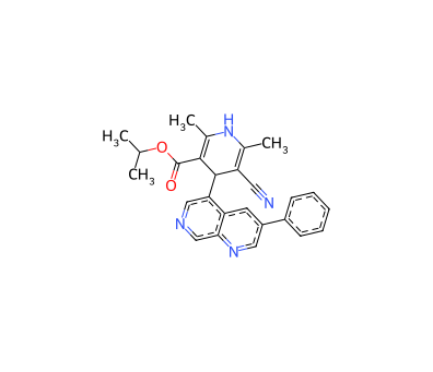 CC1=C(C#N)C(c2cncc3ncc(-c4ccccc4)cc23)C(C(=O)OC(C)C)=C(C)N1